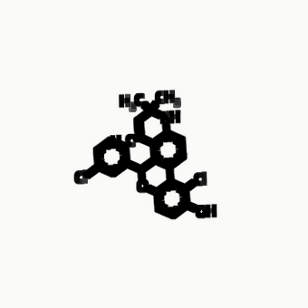 CC1=CC(C)(C)Nc2ccc3c(c21)C(c1cccc(Cl)c1)Oc1ccc(O)c(Cl)c1-3